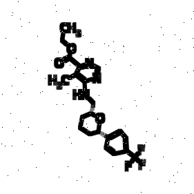 CCOC(=O)c1ncnc(NC[C@H]2CCC[C@@H](c3ccc(C(F)(F)F)cc3)O2)c1C